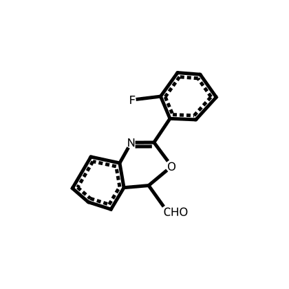 O=CC1OC(c2ccccc2F)=Nc2ccccc21